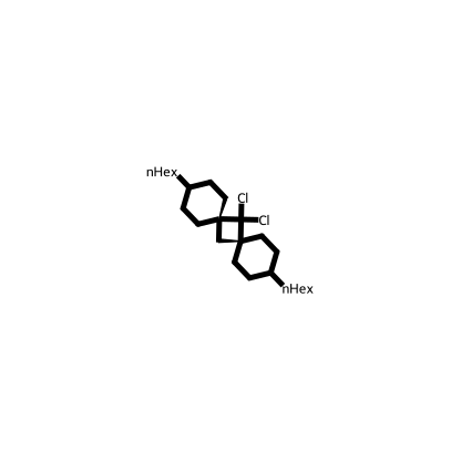 CCCCCCC1CC[C@]2(CC1)C[C@@]1(CCC(CCCCCC)CC1)C2(Cl)Cl